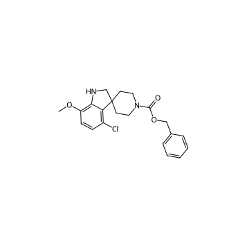 COc1ccc(Cl)c2c1NCC21CCN(C(=O)OCc2ccccc2)CC1